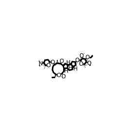 CCO[C@@H]1[C@@H](OC)[C@H](C)O[C@@H](O[C@@H]2C[C@H]3CCC4[C@@H]5CC(=O)O[C@@H](CC)CCC[C@H](O[C@H]6CC[C@H](N(C)C)[C@@H](C)O6)[C@@H](C)C(=O)C5=C[C@H]4[C@@H]3C2)[C@@H]1OC